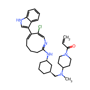 C=CC(=O)N1CCC(N(C)C[C@H]2CCC[C@@H](N/C3=N/C=C(Cl)\C(c4c[nH]c5ccccc45)=C/CCC3)C2)CC1